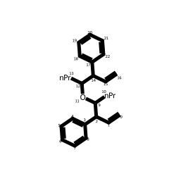 C=CC(c1ccccc1)C(CCC)OC(CCC)C(C=C)c1ccccc1